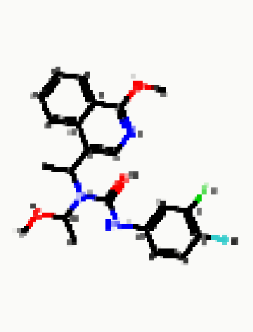 COc1ncc(C(C)N(C(=O)Nc2ccc(F)c(Cl)c2)C(C)OC)c2ccccc12